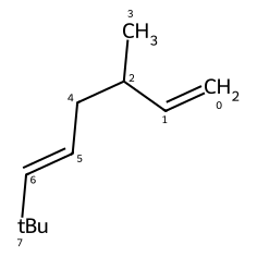 C=CC(C)CC=CC(C)(C)C